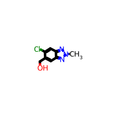 Cn1nc2cc(Cl)c(CO)cc2n1